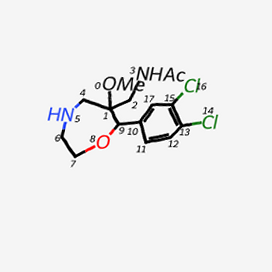 COC1(CNC(C)=O)CNCCOC1c1ccc(Cl)c(Cl)c1